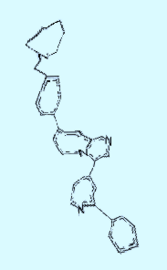 c1ccc(-c2cc(-c3cnc4cc(-c5ccc(CN6CCCCC6)cc5)ccn34)ccn2)cc1